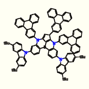 CC(C)(C)c1ccc2c(c1)c1cc(C(C)(C)C)ccc1n2-c1ccc2c(c1)N(c1ccc3c4ccccc4c4ccccc4c3c1)C1=CC(c3ccc4c5ccccc5c5ccccc5c4c3)C3=C1B2c1ccc(-n2c4ccc(C(C)(C)C)cc4c4cc(C(C)(C)C)ccc42)cc1N3c1ccc2c3ccccc3c3ccccc3c2c1